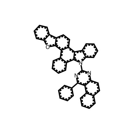 c1ccc(-c2nc(-n3c4ccccc4c4c5ccc6c7ccccc7oc6c5c5ccccc5c43)nc3ccc4ccccc4c23)cc1